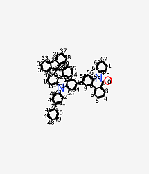 O=c1c2ccccc2c2cc(-c3ccc(N(C4=CC=CC5C4c4ccccc4C54c5ccccc5-c5ccccc54)c4ccc(-c5ccccc5)cc4)cc3)ccc2n1-c1ccccc1